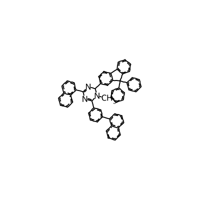 CN1C(c2cccc(-c3cccc4ccccc34)c2)=NC(c2cccc3ccccc23)=NC1c1ccc2c(c1)C(c1ccccc1)(c1ccccc1)c1ccccc1-2